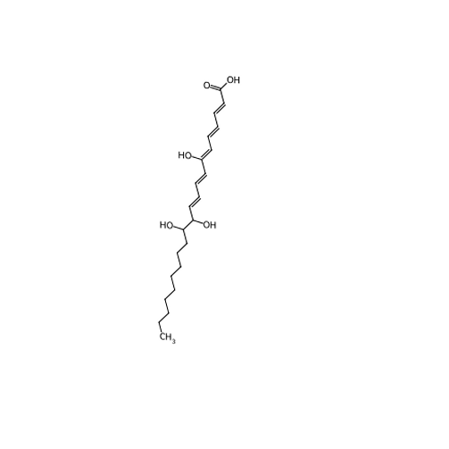 CCCCCCCCCC(O)C(O)C=CC=CC(O)=CC=CC=CC(=O)O